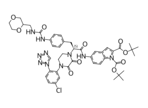 CC(C)(C)OC(=O)c1cc2cc(NC(=O)[C@H](Cc3ccc(NC(=O)NCC4COCCO4)cc3)N3CCN(c4cc(Cl)ccc4-n4cnnn4)C(=O)C3=O)ccc2n1C(=O)OC(C)(C)C